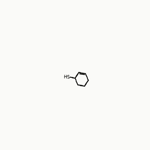 SC1C=CCCC1